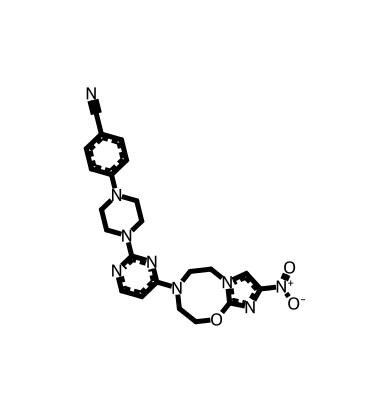 N#Cc1ccc(N2CCN(c3nccc(N4CCOc5nc([N+](=O)[O-])cn5CC4)n3)CC2)cc1